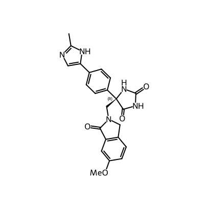 COc1ccc2c(c1)C(=O)N(C[C@@]1(c3ccc(-c4cnc(C)[nH]4)cc3)NC(=O)NC1=O)C2